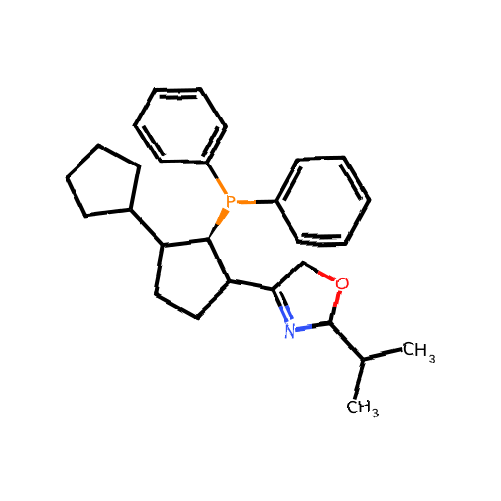 CC(C)C1N=C(C2CCC(C3CCCC3)[C@H]2P(c2ccccc2)c2ccccc2)CO1